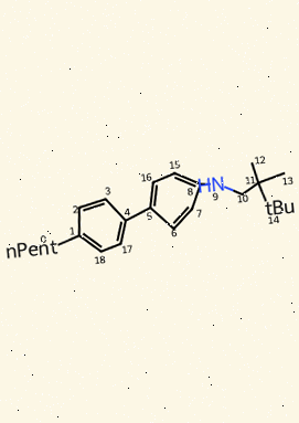 CCCCCc1ccc(-c2ccc(NCC(C)(C)C(C)(C)C)cc2)cc1